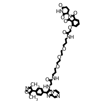 Cc1noc(C)c1-c1ccc(-c2nc3cnccn3c2NCC(=O)NCCCOCCOCCOCCCNC(=O)COc2cccc3c2C(=O)N(C2CCC(=O)NC2=O)C3=O)cc1